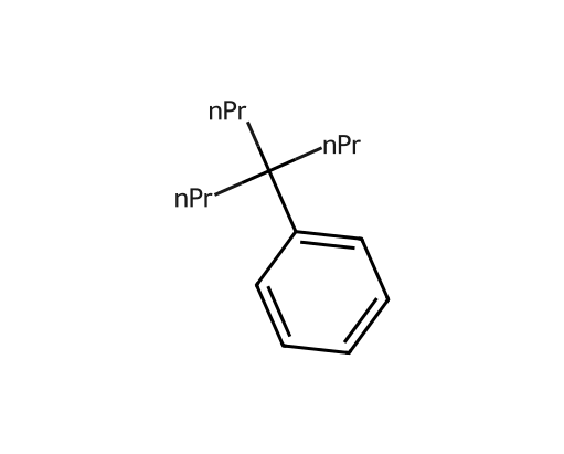 CCCC(CCC)(CCC)c1ccccc1